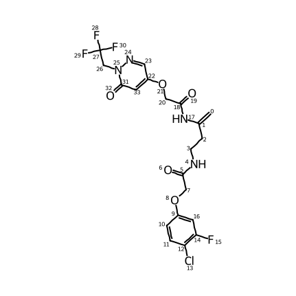 C=C(CCNC(=O)COc1ccc(Cl)c(F)c1)NC(=O)COc1cnn(CC(F)(F)F)c(=O)c1